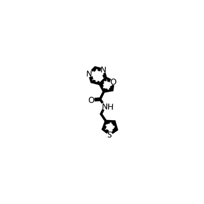 O=C(NCc1ccsc1)c1coc2ncncc12